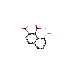 COc1cccc2ccc(C(=O)O)c(C(=O)O)c12